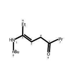 CCCCNC(=CCC(=O)C(C)C)CC